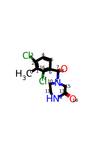 Cc1c(Cl)ccc(C(=O)N2CCNC(=O)C2)c1Cl